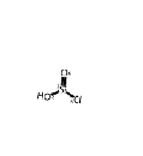 O=[Si](O)Cl